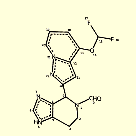 O=CN1CCc2[nH]cnc2C1c1cc2c(OC(F)F)cccn2n1